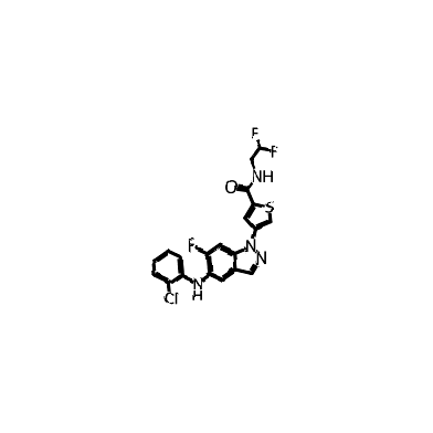 O=C(NCC(F)F)c1cc(-n2ncc3cc(Nc4ccccc4Cl)c(F)cc32)cs1